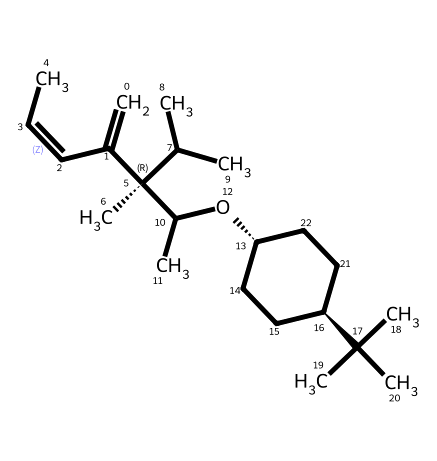 C=C(/C=C\C)[C@@](C)(C(C)C)C(C)O[C@H]1CC[C@H](C(C)(C)C)CC1